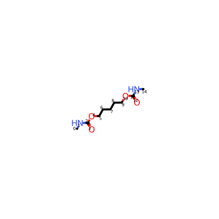 CNC(=O)OCCCCCOC(=O)NC